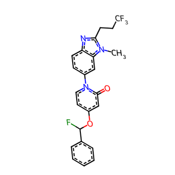 Cn1c(CCC(F)(F)F)nc2ccc(-n3ccc(OC(F)c4ccccc4)cc3=O)cc21